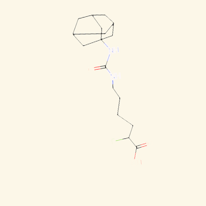 O=C(NCCCCC(F)C(=O)O)NC12CC3CC(CC(C3)C1)C2